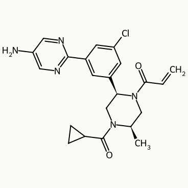 C=CC(=O)N1C[C@@H](C)N(C(=O)C2CC2)C[C@H]1c1cc(Cl)cc(-c2ncc(N)cn2)c1